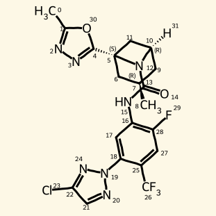 Cc1nnc([C@]23C[C@H](C)C[C@H](C2)N3C(=O)Nc2cc(-n3ncc(Cl)n3)c(C(F)(F)F)cc2F)o1